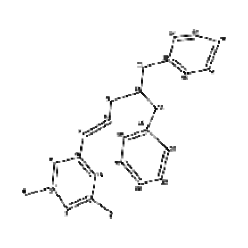 Cc1cc(C)cc(C=CCC(Cc2ccccc2)Cc2ccccc2)c1